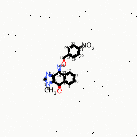 Cn1cnc2c1C(=O)c1ccccc1C2=NOCc1ccc([N+](=O)[O-])cc1